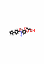 O=C(Nc1ccc2c(c1)OCC(CO)O2)c1ccc(C2CCCC2)cc1